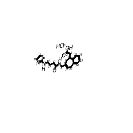 Cl.O=C(O)CC1CC(CNC(=O)CCCNc2nccs2)=CCc2ccccc21